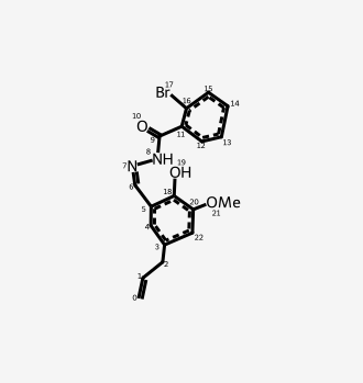 C=CCc1cc(/C=N\NC(=O)c2ccccc2Br)c(O)c(OC)c1